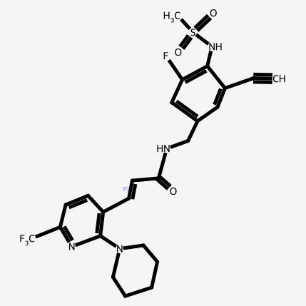 C#Cc1cc(CNC(=O)/C=C/c2ccc(C(F)(F)F)nc2N2CCCCC2)cc(F)c1NS(C)(=O)=O